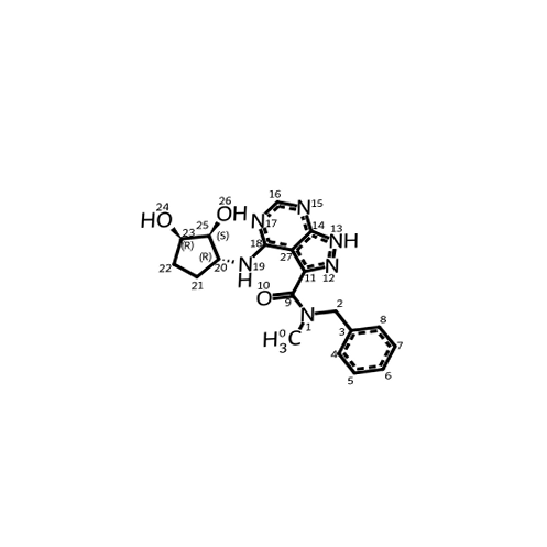 CN(Cc1ccccc1)C(=O)c1n[nH]c2ncnc(N[C@@H]3CC[C@@H](O)[C@H]3O)c12